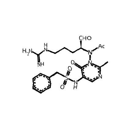 CC(=O)N([C@H](C=O)CCCNC(=N)N)n1c(C)ncc(NS(=O)(=O)Cc2ccccc2)c1=O